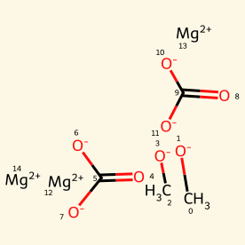 C[O-].C[O-].O=C([O-])[O-].O=C([O-])[O-].[Mg+2].[Mg+2].[Mg+2]